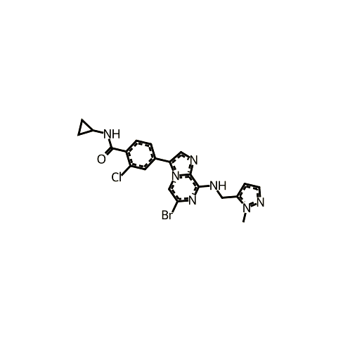 Cn1nccc1CNc1nc(Br)cn2c(-c3ccc(C(=O)NC4CC4)c(Cl)c3)cnc12